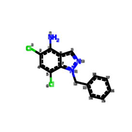 Nc1c(Cl)cc(Cl)c2c1cnn2Cc1ccccc1